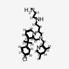 Cc1cnc(CN(CCCCNCCN)Cc2ncccc2C(C)(C)c2ccc(Cl)cc2)c(C)c1